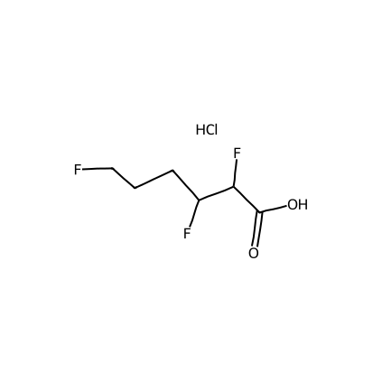 Cl.O=C(O)C(F)C(F)CCCF